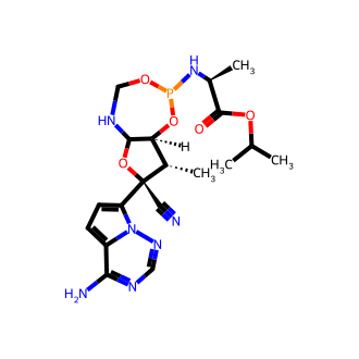 CC(C)OC(=O)[C@H](C)NP1OCNC2O[C@@](C#N)(c3ccc4c(N)ncnn34)[C@@H](C)[C@@H]2O1